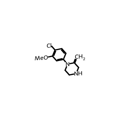 C=C1CNCCN1c1ccc(Cl)c(OC)c1